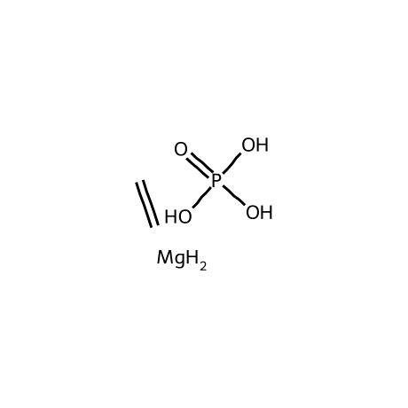 C=C.O=P(O)(O)O.[MgH2]